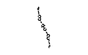 C=CC(=O)OCCOc1ccc2cc(C#Cc3ccc(-c4c(C)cc(C#Cc5ccc6cc(OCCOC(=O)C=C)ccc6c5)cc4C)cc3)ccc2c1